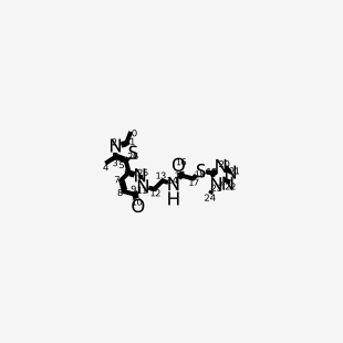 Cc1nc(C)c(-c2ccc(=O)n(CCNC(=O)CSc3nnnn3C)n2)s1